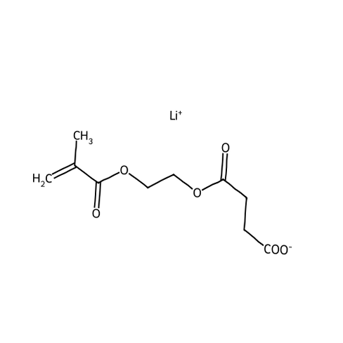 C=C(C)C(=O)OCCOC(=O)CCC(=O)[O-].[Li+]